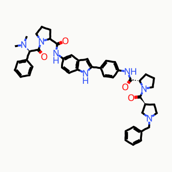 CN(C)[C@H](C(=O)N1CCCC1C(=O)Nc1ccc2[nH]c(-c3ccc(NC(=O)[C@@H]4CCCN4C(=O)[C@H]4CCN(Cc5ccccc5)C4)cc3)cc2c1)c1ccccc1